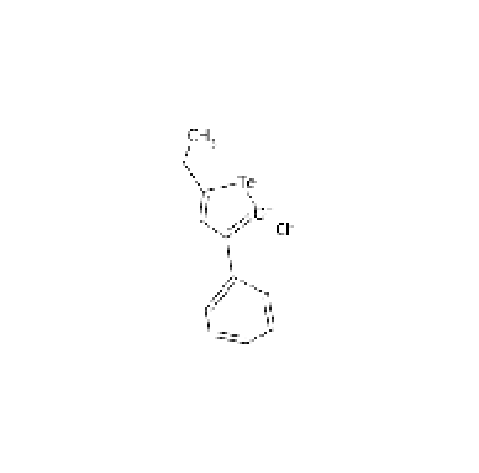 CCc1cc(-c2ccccc2)[o+][te]1.[Cl-]